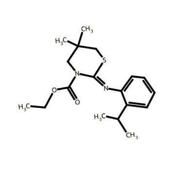 CCOC(=O)N1CC(C)(C)CS/C1=N\c1ccccc1C(C)C